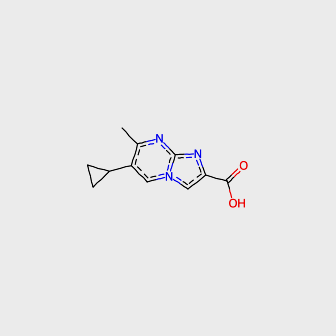 Cc1nc2nc(C(=O)O)cn2cc1C1CC1